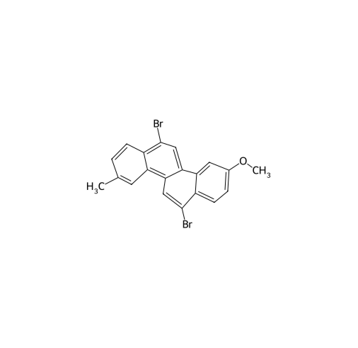 COc1ccc2c(Br)cc3c4cc(C)ccc4c(Br)cc3c2c1